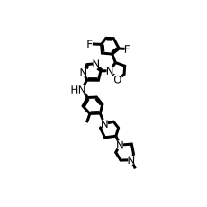 Cc1cc(Nc2cc(N3OCCC3c3cc(F)ccc3F)ncn2)ccc1N1CCC(N2CCN(C)CC2)CC1